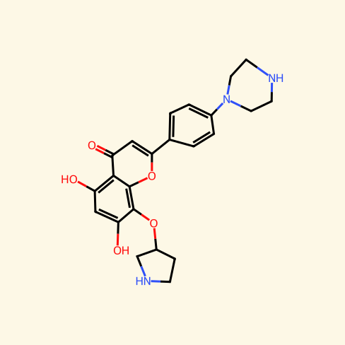 O=c1cc(-c2ccc(N3CCNCC3)cc2)oc2c(OC3CCNC3)c(O)cc(O)c12